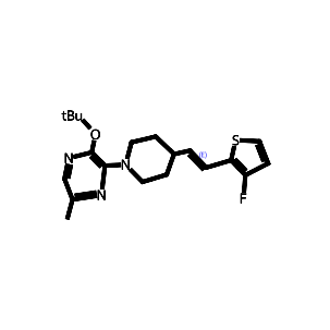 Cc1cnc(OC(C)(C)C)c(N2CCC(/C=C/c3sccc3F)CC2)n1